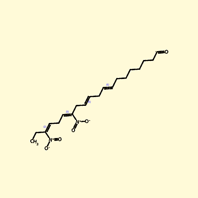 CC/C(=C/C/C=C(/C/C=C/C/C=C/CCCCCC[C]=O)[N+](=O)[O-])[N+](=O)[O-]